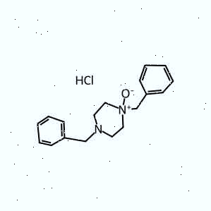 Cl.[O-][N+]1(Cc2ccccc2)CCN(Cc2ccccc2)CC1